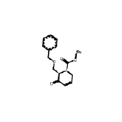 CC(C)(C)OC(=O)N1CC=CC(=O)[C@H]1COCc1ccccc1